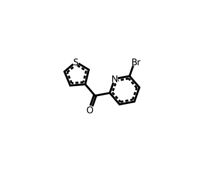 O=C(c1ccsc1)c1cccc(Br)n1